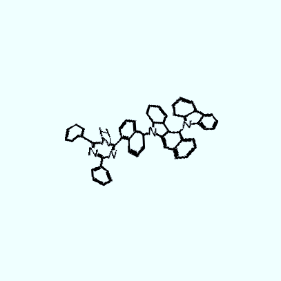 C1=CCCC(C2N=C(c3ccccc3)N=C(c3cccc4c3C=CCC4N3C4=Cc5ccccc5C(N5c6ccccc6C6C=CCCC65)C4C4C=CCCC43)N2)=C1